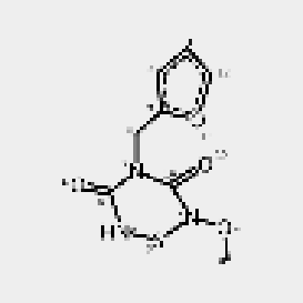 CON1SNC(=O)N(Cc2ccco2)C1=O